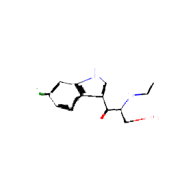 CCNC(CO)C(=O)c1c[nH]c2cc(F)ccc12